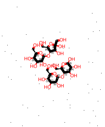 OC[C@H]1O[C@@H](O[C@@H]2[C@@H](CO)O[C@](O)(CO)[C@H]2O)[C@H](O)[C@@H](O)[C@H]1O.OC[C@H]1O[C@H](O[C@H]2[C@H](O)[C@@H](O)[C@H](O)O[C@@H]2CO)[C@H](O)[C@@H](O)[C@@H]1O